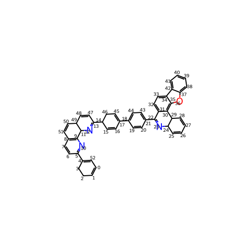 C1=CCCC(c2ccc3c(n2)C2N=C(C4C=CC(c5ccc(C6=NC7C=CC=CC7c7c6ccc6c7oc7ccccc76)cc5)=CC4)C=CC2C=C3)=C1